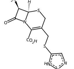 N[C@@H]1C(=O)N2C(C(=O)O)=C(CSc3cnn[nH]3)CS[C@H]12